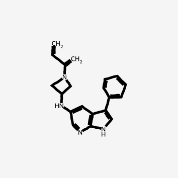 C=CC(=C)N1CC(Nc2cnc3[nH]cc(-c4ccccc4)c3c2)C1